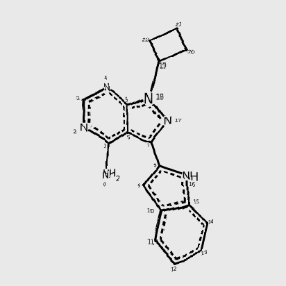 Nc1ncnc2c1c(-c1cc3ccccc3[nH]1)nn2C1CCC1